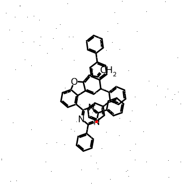 C=C/C=c1/oc2cccc(-c3nc(-c4ccccc4)nc(-c4ccccc4)n3)c2/c1=C/C(c1ccc(-c2ccccc2)cc1)c1ccccc1-c1ccccc1